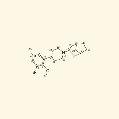 COc1c(F)cc(F)cc1C1CCN(C2CC3CCC(C3)C2)CC1